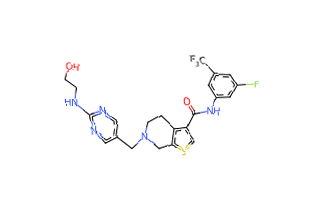 O=C(Nc1cc(F)cc(C(F)(F)F)c1)c1csc2c1CCN(Cc1cnc(NCCO)nc1)C2